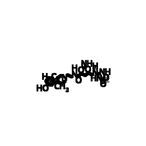 CC1CN(CCNC(=O)C(CCCNC(=N)N[N+](=O)[O-])OC(N)=O)CCC1(C)c1cccc(O)c1